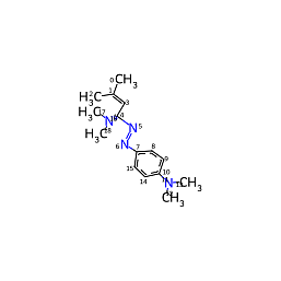 CC(C)=CC(N=Nc1ccc(N(C)C)cc1)=[N+](C)C